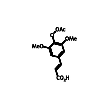 COc1cc(C=CC(=O)O)cc(OC)c1OOC(C)=O